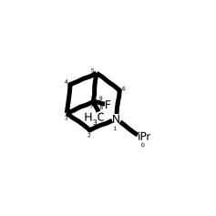 CC(C)N1CC2CC(C1)C2(C)F